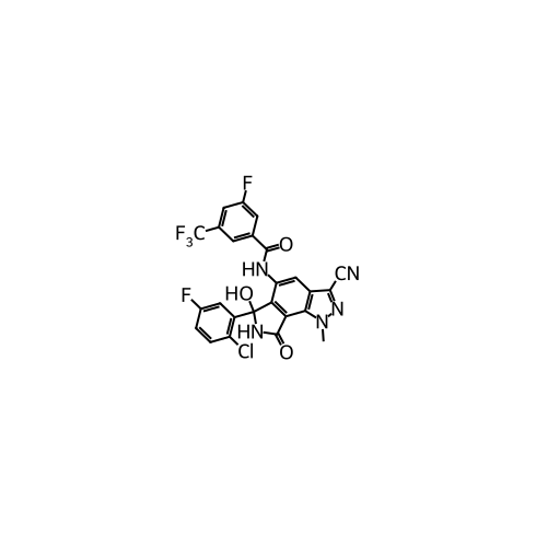 Cn1nc(C#N)c2cc(NC(=O)c3cc(F)cc(C(F)(F)F)c3)c3c(c21)C(=O)NC3(O)c1cc(F)ccc1Cl